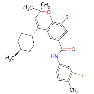 Cc1ccc(NC(=O)c2cc(Br)c3c(c2)C([C@H]2CC[C@H](C)CC2)=CC(C)(C)O3)cc1F